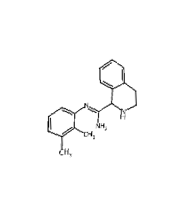 Cc1cccc(N=C(N)C2NCCc3ccccc32)c1C